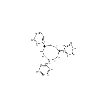 c1ccc(N2CCN(c3ccccc3)CCN(c3ccccc3)CC2)cc1